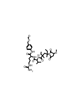 CCC(C)(CC(C)(CC)N1C(=O)CC(SC)C1=O)C(=O)NC(C(=O)NC(CCCNC(N)=O)C(=O)Nc1ccc(COC=O)cc1)C(C)C